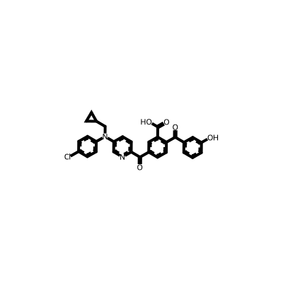 O=C(c1ccc(C(=O)c2cccc(O)c2)c(C(=O)O)c1)c1ccc(N(CC2CC2)c2ccc(Cl)cc2)cn1